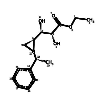 CCOC(=O)[C@H](O)[C@@H](O)[C@H]1CN1[C@H](C)c1ccccc1